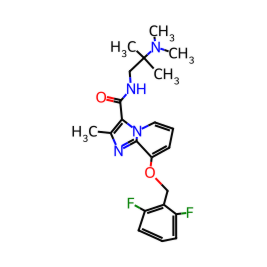 Cc1nc2c(OCc3c(F)cccc3F)cccn2c1C(=O)NCC(C)(C)N(C)C